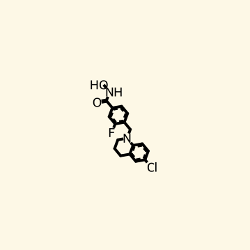 O=C(NO)c1ccc(CN2CCCc3cc(Cl)ccc32)c(F)c1